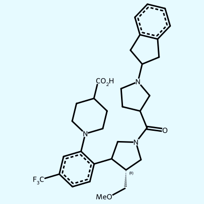 COC[C@H]1CN(C(=O)C2CCN(C3Cc4ccccc4C3)C2)CC1c1ccc(C(F)(F)F)cc1N1CCC(C(=O)O)CC1